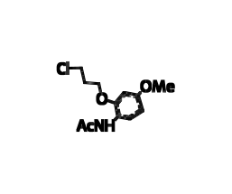 COc1ccc(NC(C)=O)c(OCCCCl)c1